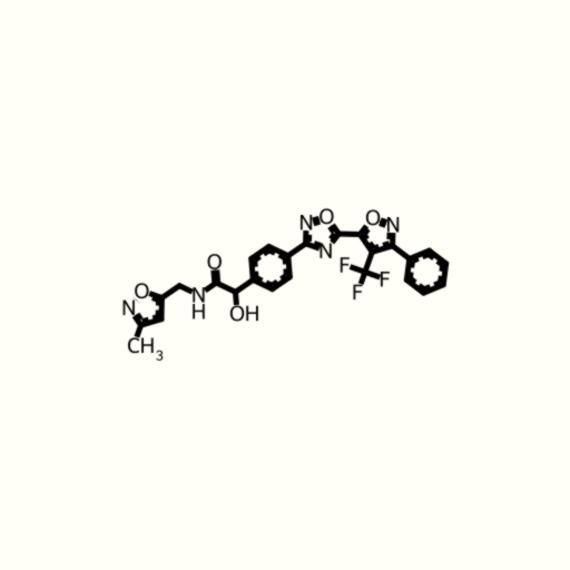 Cc1cc(CNC(=O)C(O)c2ccc(-c3noc(-c4onc(-c5ccccc5)c4C(F)(F)F)n3)cc2)on1